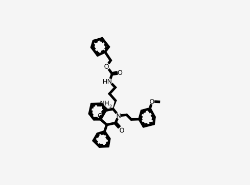 COc1cccc(CCN(C(=O)C(c2ccccc2)c2ccccc2)[C@H](CCCNC(=O)OCc2ccccc2)C(N)=O)c1